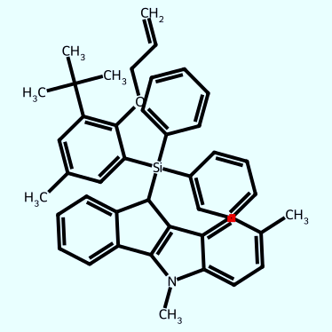 C=CCOc1c(C(C)(C)C)cc(C)cc1[Si](c1ccccc1)(c1ccccc1)C1c2ccccc2-c2c1c1cc(C)ccc1n2C